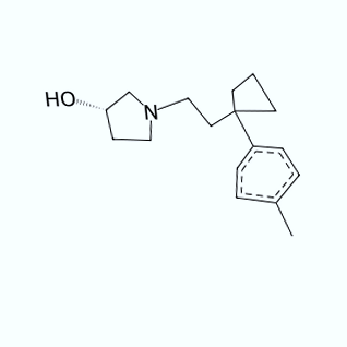 Cc1ccc(C2(CCN3CC[C@H](O)C3)CCC2)cc1